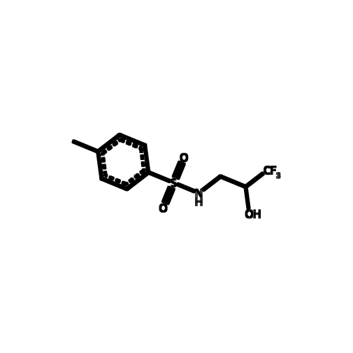 Cc1ccc(S(=O)(=O)NCC(O)C(F)(F)F)cc1